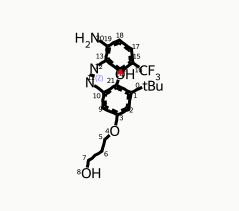 CC(C)(C)c1cc(OCCCO)cc(/N=N\c2cc(C(F)(F)F)ccc2N)c1O